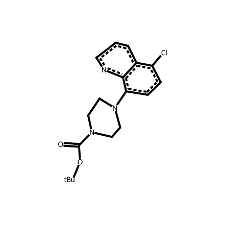 CC(C)(C)OC(=O)N1CCN(c2ccc(Cl)c3cccnc23)CC1